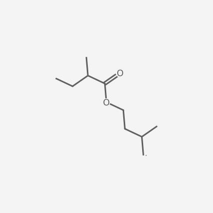 [CH2]C(C)CCOC(=O)C(C)CC